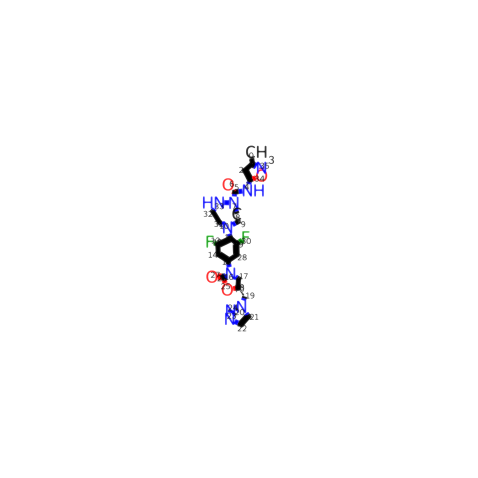 Cc1cc(NC(=O)N2CCN(c3c(F)cc(N4C[C@H](Cn5ccnn5)OC4=O)cc3F)CCN2)on1